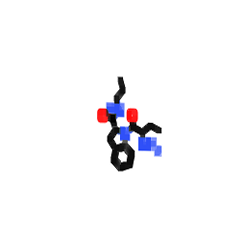 CCCNC(=O)[C@@H]1Cc2ccccc2N1C(=O)C(N)CC